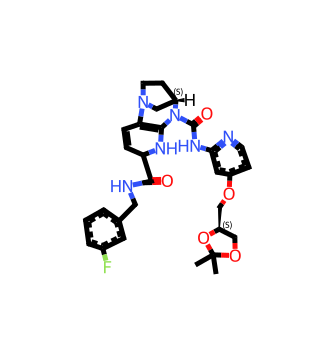 CC1(C)OC[C@H](COc2ccnc(NC(=O)N3C4=C(C=CC(C(=O)NCc5cccc(F)c5)N4)N4CC[C@H]3C4)c2)O1